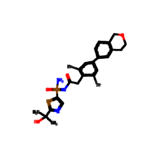 CC(C)c1cc(-c2ccc3c(c2)CCOC3)cc(C(C)C)c1CC(=O)N=S(N)(=O)c1cnc(C(C)(C)O)s1